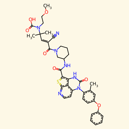 COCCN(C(=O)O)C(C)(C)C=C(C#N)C(=O)N1CCCC(NC(=O)c2sc3nccc4c3c2NC(=O)N4c2ccc(Oc3ccccc3)cc2C)C1